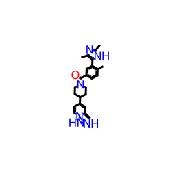 Cc1nc(C)c(-c2cc(C(=O)N3CCC(C4=CC5=CNNN5C=C4)CC3)ccc2C)[nH]1